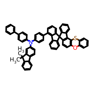 CC1(C)c2ccccc2-c2ccc(N(c3ccc(-c4ccccc4)cc3)c3ccc(-c4cccc5c4-c4ccccc4C54c5ccccc5-c5c4ccc4c5Sc5ccccc5O4)cc3)cc21